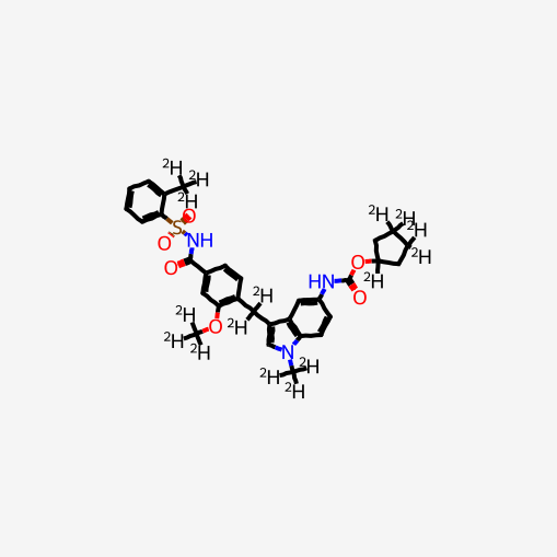 [2H]C([2H])([2H])Oc1cc(C(=O)NS(=O)(=O)c2ccccc2C([2H])([2H])[2H])ccc1C([2H])([2H])c1cn(C([2H])([2H])[2H])c2ccc(NC(=O)OC3([2H])CC([2H])([2H])C([2H])([2H])C3)cc12